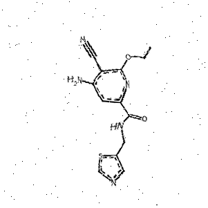 CCOc1nc(C(=O)NCc2cncs2)cc(N)c1C#N